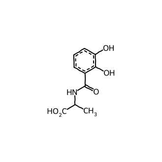 CC(NC(=O)c1cccc(O)c1O)C(=O)O